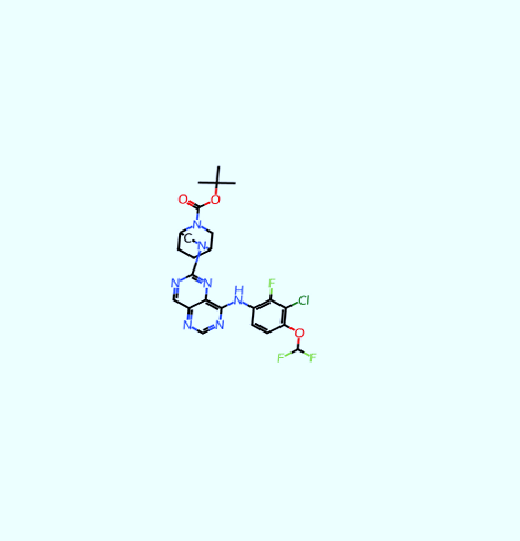 CC(C)(C)OC(=O)N1CC2CCC1CN2c1ncc2ncnc(Nc3ccc(OC(F)F)c(Cl)c3F)c2n1